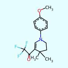 COc1ccc(N2C=C(C(=O)C(F)(F)F)C(C)(C)CC2)cc1